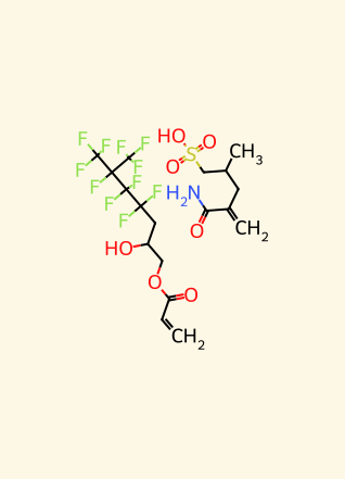 C=C(CC(C)CS(=O)(=O)O)C(N)=O.C=CC(=O)OCC(O)CC(F)(F)C(F)(F)C(F)(C(F)(F)F)C(F)(F)F